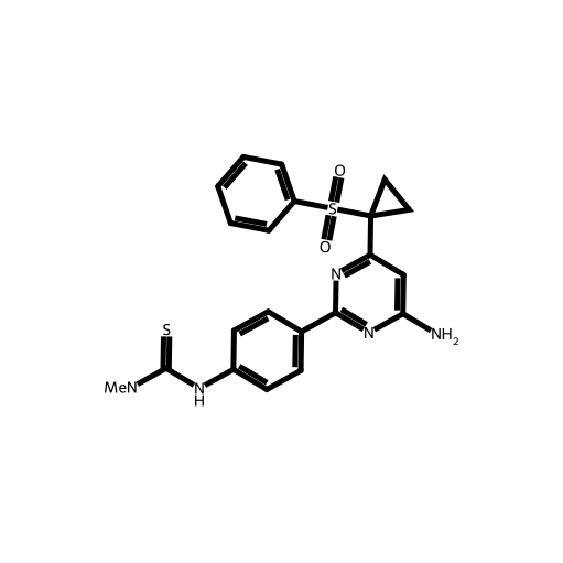 CNC(=S)Nc1ccc(-c2nc(N)cc(C3(S(=O)(=O)c4ccccc4)CC3)n2)cc1